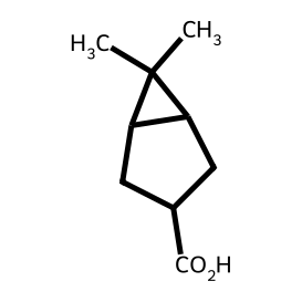 CC1(C)C2CC(C(=O)O)CC21